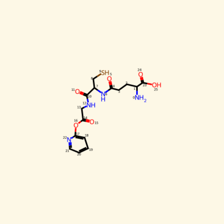 NC(CCC(=O)NC(CS)C(=O)NCC(=O)Oc1ccccn1)C(=O)O